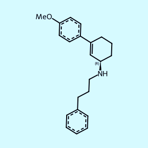 COc1ccc(C2=C[C@H](NCCCc3ccccc3)CCC2)cc1